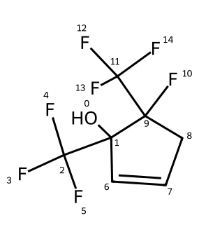 OC1(C(F)(F)F)C=CCC1(F)C(F)(F)F